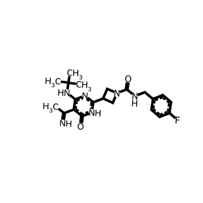 CC(=N)c1c(NC(C)(C)C)nc(C2CN(C(=O)NCc3ccc(F)cc3)C2)[nH]c1=O